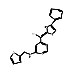 N#C/C(=C1\NC(c2ccccc2)=CS1)c1cc(NCc2ccco2)ncn1